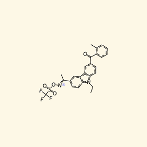 CCn1c2ccc(C(=O)c3ccccc3C)cc2c2cc(/C(C)=N/OS(=O)(=O)C(F)(F)F)ccc21